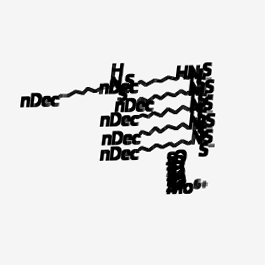 CCCCCCCCCCCCCCCCCCNC(=S)[S-].CCCCCCCCCCCCCCCCCCNC(=S)[S-].CCCCCCCCCCCCCCCCCCNC(=S)[S-].CCCCCCCCCCCCCCCCCCNC(=S)[S-].CCCCCCCCCCCCCCCCCCNC(=S)[S-].CCCCCCCCCCCCCCCCCCNC(=S)[S-].O=S.O=S.O=S.O=S.O=S.O=S.[Mo+6]